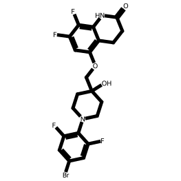 O=C1CCc2c(OCC3(O)CCN(c4c(F)cc(Br)cc4F)CC3)cc(F)c(F)c2N1